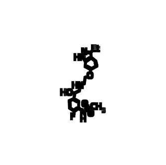 CCc1n[nH]c2cc(OCCNCC(O)c3ccc(F)c(NS(C)(=O)=O)c3)ccc12